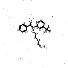 CCOCCON(C(=O)c1ccccc1)c1cc(C(F)(F)F)ccn1